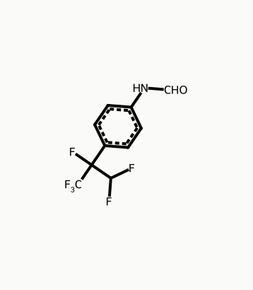 O=CNc1ccc(C(F)(C(F)F)C(F)(F)F)cc1